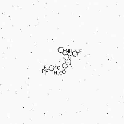 COc1cc2c(cc1OCc1ccc(C(F)(F)F)cc1)C1Cc3c([nH]c4ccccc34)C(c3ccc(F)cc3)N1CC2